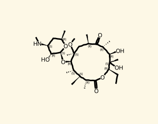 CC[C@H]1OC(=O)[C@H](C)[C@@H](C)[C@H](C)[C@@H](O[C@@H]2O[C@H](C)C[C@H](NC)[C@H]2O)[C@@](C)(OC)C[C@@H](C)C(=O)[C@H](C)[C@@H](O)[C@]1(C)O